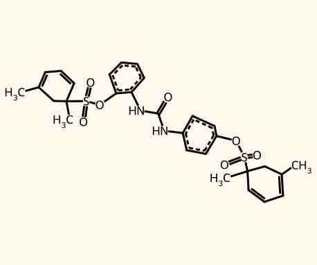 CC1=CC=CC(C)(S(=O)(=O)Oc2ccc(NC(=O)Nc3ccccc3OS(=O)(=O)C3(C)C=CC=C(C)C3)cc2)C1